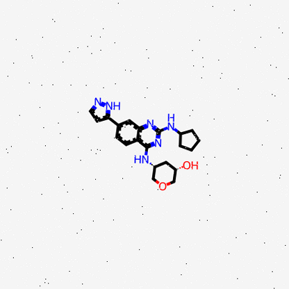 O[C@@H]1COC[C@H](Nc2nc(NC3CCCC3)nc3cc(-c4ccn[nH]4)ccc23)C1